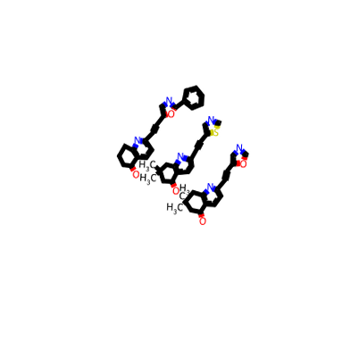 CC1(C)CC(=O)c2ccc(C#Cc3cnco3)nc2C1.CC1(C)CC(=O)c2ccc(C#Cc3cncs3)nc2C1.O=C1CCCc2nc(C#Cc3cnc(-c4ccccc4)o3)ccc21